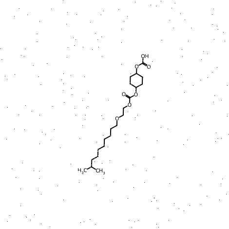 CC(C)CCCCCCCCOCCOC(=O)OC1CCC(OC(=O)O)CC1